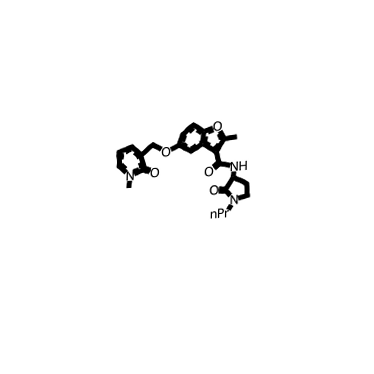 CCCN1CCC(NC(=O)c2c(C)oc3ccc(OCc4cccn(C)c4=O)cc23)C1=O